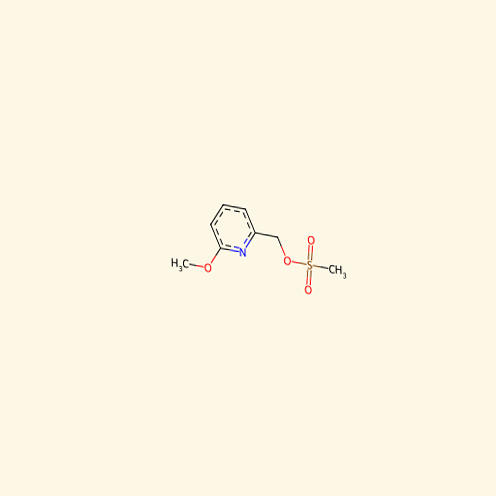 COc1cccc(COS(C)(=O)=O)n1